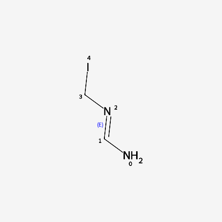 N/C=N/CI